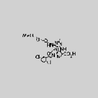 COCCOCCOCCNc1nc(C)nc(Nc2ccncc2C(=O)O)c1NCc1ncc(-c2cc(Cl)ccc2Cl)o1